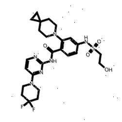 O=C(Nc1nccc(N2CCC(F)(F)CC2)n1)c1ccc(NS(=O)(=O)CCO)cc1N1CCC2(CC1)CC2